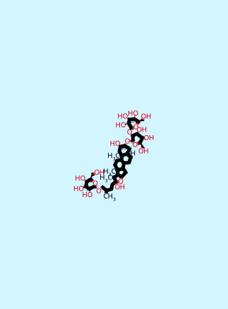 CC(CCC1(O)OC2CC3C4CC[C@@H]5C[C@@H](O[C@@H]6O[C@H](CO)[C@H](O)[C@H](O)[C@H]6O[C@@H]6O[C@H](CO)[C@@H](O)[C@H](O)[C@H]6O)[C@@H](O)C[C@]5(C)C4CC[C@]3(C)C2C1C)CO[C@@H]1O[C@H](CO)[C@@H](O)[C@H](O)[C@H]1O